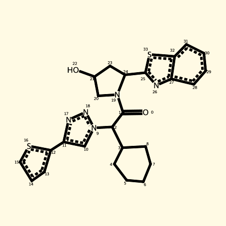 O=C(C(C1CCCCC1)n1cc(-c2cccs2)nn1)N1CC(O)CC1c1nc2ccccc2s1